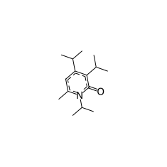 Cc1cc(C(C)C)c(C(C)C)c(=O)n1C(C)C